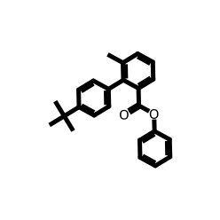 Cc1cccc(C(=O)Oc2ccccc2)c1-c1ccc(C(C)(C)C)cc1